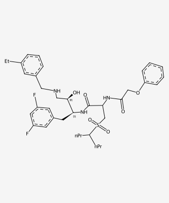 CCCC(CCC)S(=O)(=O)CC(NC(=O)COc1ccccc1)C(=O)N[C@@H](Cc1cc(F)cc(F)c1)[C@H](O)CNCc1cccc(CC)c1